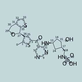 Cc1sc(C(=O)c2cncnc2N[C@H]2C[C@H](O)[C@@H]([CH]NS(=O)(=O)O)C2)cc1[C@H]1OCCc2ccsc21